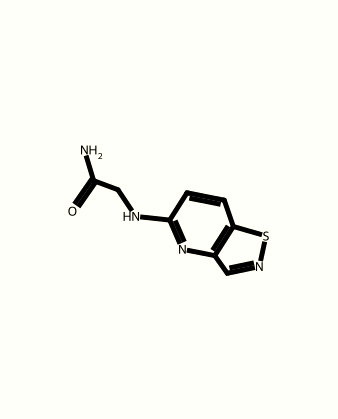 NC(=O)CNc1ccc2sncc2n1